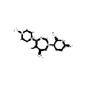 C=C1CN(C2CCC(=O)NC2=O)COC(N2CCN(C)CC2)C1F